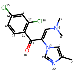 Cc1cn(C(=CN(C)C)C(=O)c2ccc(Cl)cc2Cl)cn1